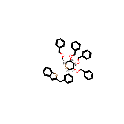 c1ccc(COC[C@H]2S[C@@H](c3cccc(Cc4cc5ccccc5s4)c3)[C@H](OCc3ccccc3)[C@@H](OCc3ccccc3)[C@@H]2OCc2ccccc2)cc1